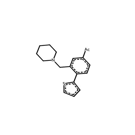 CC(=O)c1ccc(-c2cccs2)c(CN2CCCCC2)c1